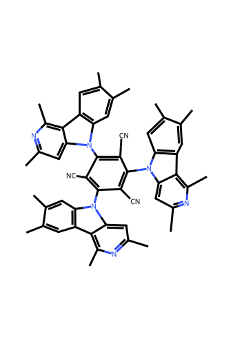 Cc1cc2c(c(C)n1)c1cc(C)c(C)cc1n2-c1c(C#N)c(-n2c3cc(C)c(C)cc3c3c(C)nc(C)cc32)c(C#N)c(-n2c3cc(C)c(C)cc3c3c(C)nc(C)cc32)c1C#N